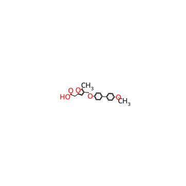 COc1ccc(-c2ccc(OCc3cc(CC(=O)O)oc3C)cc2)cc1